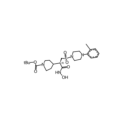 Cc1ccccc1N1CCN(S(=O)(=O)C[C@@H](C(=O)NO)C2CCN(C(=O)OC(C)(C)C)CC2)CC1